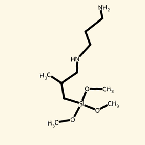 CO[Si](CC(C)CNCCCN)(OC)OC